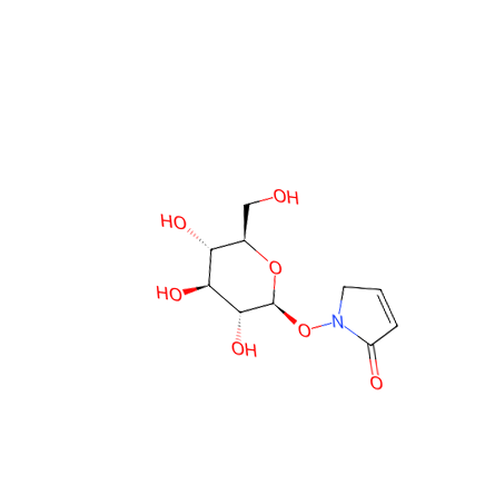 O=C1C=CCN1O[C@@H]1O[C@H](CO)[C@@H](O)[C@H](O)[C@H]1O